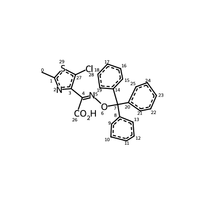 Cc1nc(/C(=N/OC(c2ccccc2)(c2ccccc2)c2ccccc2)C(=O)O)c(Cl)s1